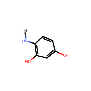 CCNc1ccc(O)cc1O